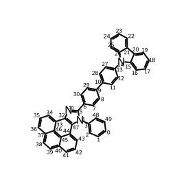 c1ccc(-n2c(-c3ccc(-c4ccc(-n5c6ccccc6c6ccccc65)cc4)cc3)nc3c4cccc5ccc6cccc(c6c54)c32)cc1